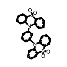 O=S1(=O)c2ccccc2N(c2cccc(N3c4ccccc4S(=O)(=O)c4ccccc43)c2)c2ccccc21